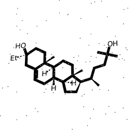 CC[C@]1(O)CC[C@@]2(C)C(=CC[C@H]3[C@@H]4CC[C@H]([C@H](C)CCC(C)(C)O)[C@@]4(C)CC[C@@H]32)C1